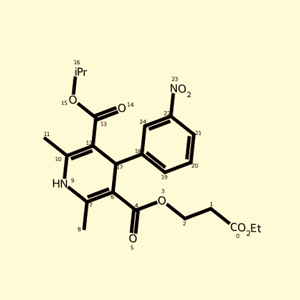 CCOC(=O)CCOC(=O)C1=C(C)NC(C)=C(C(=O)OC(C)C)C1c1cccc([N+](=O)[O-])c1